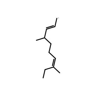 [CH2]C=CC(C)CCC=C(C)CC